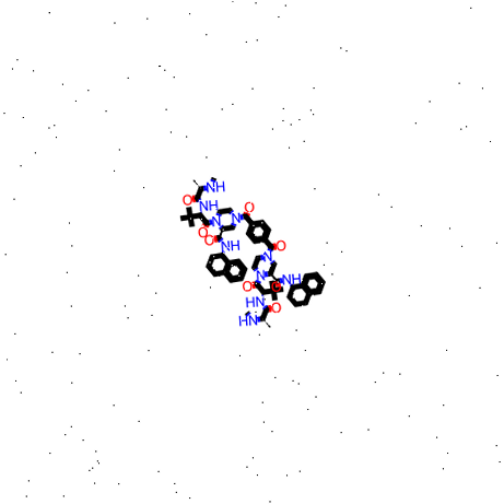 CN[C@@H](C)C(=O)N[C@H](C(=O)N1CCN(C(=O)c2ccc(C(=O)N3CCN(C(=O)[C@@H](NC(=O)[C@H](C)NC)C(C)(C)C)[C@H](C(=O)N[C@@H]4CCCc5ccccc54)C3)cc2)C[C@H]1C(=O)N[C@@H]1CCCc2ccccc21)C(C)(C)C